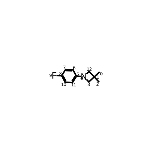 CC1(C)CN(c2ccc(F)cc2)C1